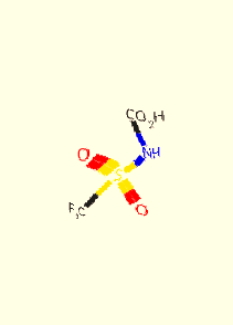 O=C(O)NS(=O)(=O)C(F)(F)F